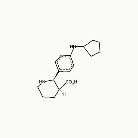 [2H][C@]1(C(=O)O)CCCN[C@H]1c1ccc(NC2CCCC2)cc1